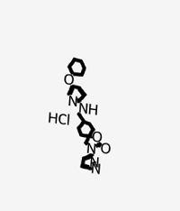 Cl.O=C1OC2(CCC(CNc3ccc(OC4CCCCC4)cn3)CC2)CN1c1cccnn1